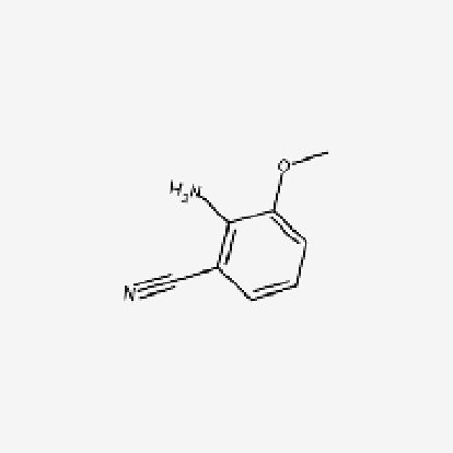 COc1cccc(C#N)c1N